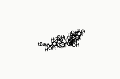 CC(C)(C)NCC(O)c1ccc(OP(=O)(O)O)c(C[S+]2CCC([C@@H]3O[C@@H]4C[C@H]5[C@@H]6CCC7=CC(=O)C=C[C@]7(C)[C@@]6(F)[C@@H](O)C[C@]5(C)[C@]4(C(=O)CO)O3)CC2)c1